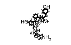 CC(NC(=O)CN)C(=O)NCC(=O)N1C[C@@H](O)CC1C(=O)N1CCCC1C(=O)NC(Cc1ccc(O)cc1)C(N)=O